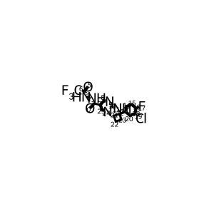 O=C(NNC(=O)C(F)(F)F)c1cnc(NC2(c3ccc(F)c(Cl)c3)CCC2)nc1